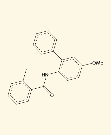 COc1ccc(NC(=O)c2ccccc2C)c(-c2ccccc2)c1